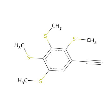 [C]#Cc1cc(SC)c(SC)c(SC)c1SC